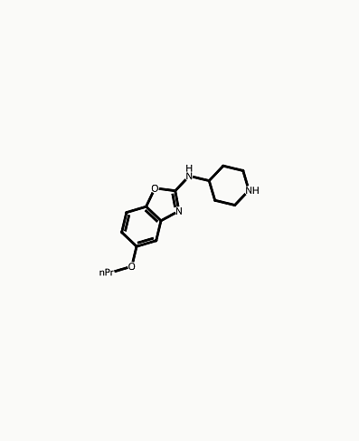 CCCOc1ccc2oc(NC3CCNCC3)nc2c1